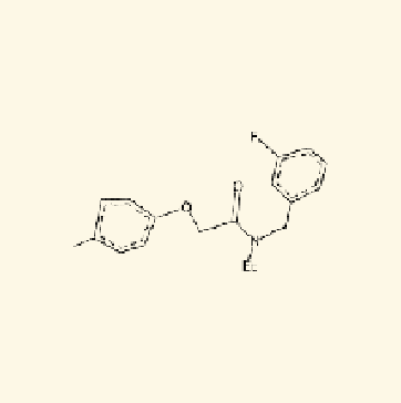 CCN(Cc1cccc(F)c1)C(=O)COc1ccc(C)cc1